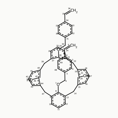 C=Cc1ccc(COc2c3cccc2Cc2cccc(c2O)Cc2cccc(c2OCc2ccc(C=C)cc2)Cc2cccc(c2O)C3)cc1